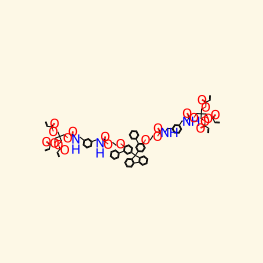 C=CC(=O)OCC(COC(=O)C=C)(COC(=O)C=C)COC(=O)NCc1cccc(CNC(=O)OCCOc2ccc(C3(c4ccc(OCCOC(=O)NCc5cccc(CNC(=O)OCC(COC(=O)C=C)(COC(=O)C=C)COC(=O)C=C)c5)c(-c5ccccc5)c4)c4ccccc4-c4ccccc43)cc2-c2ccccc2)c1